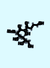 CN[C@H](C(=O)OC(=O)CCCO)[C@@H](O)[C@H](O)[C@H](O)CO